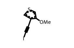 COc1cscc1C#CI